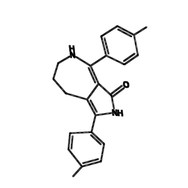 Cc1ccc(C2=C3CCCNC(c4ccc(C)cc4)=C3C(=O)N2)cc1